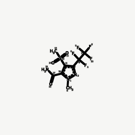 Cn1nc(C(F)(F)C(F)(F)F)c(S(C)(=O)=O)c1C(N)=O